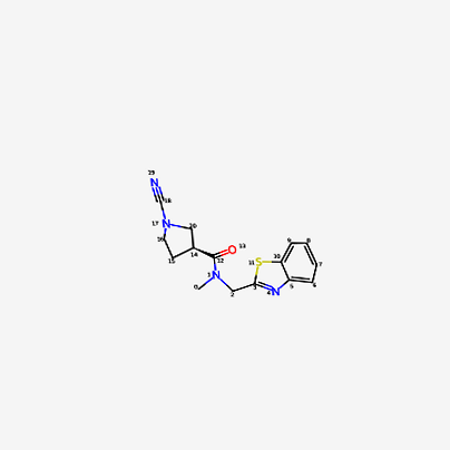 CN(Cc1nc2ccccc2s1)C(=O)[C@H]1CCN(C#N)C1